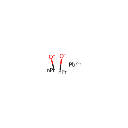 CCC[O-].CCC[O-].[Pb+2]